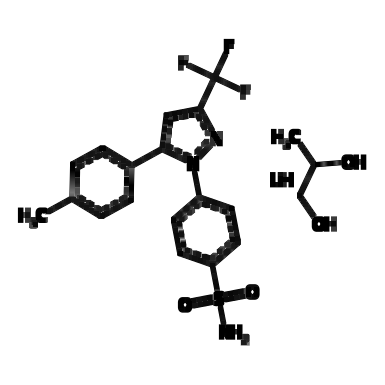 CC(O)CO.Cc1ccc(-c2cc(C(F)(F)F)nn2-c2ccc(S(N)(=O)=O)cc2)cc1.[LiH]